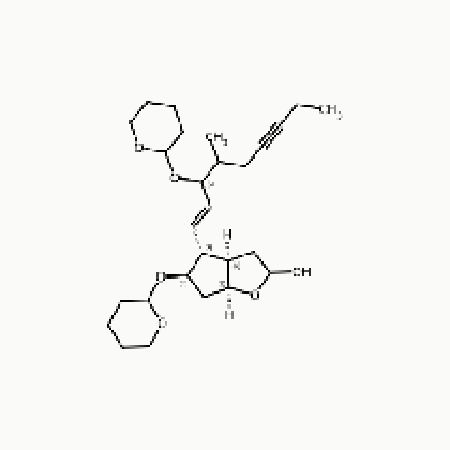 CCC#CCC(C)[C@@H](C=C[C@@H]1[C@H]2CC(O)O[C@H]2C[C@H]1OC1CCCCO1)OC1CCCCO1